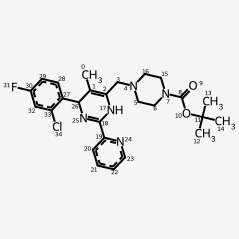 CC1=C(CN2CCN(C(=O)OC(C)(C)C)CC2)NC(c2ccccn2)=NC1c1ccc(F)cc1Cl